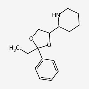 CCC1(c2ccccc2)OCC(C2CCCCN2)O1